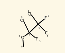 COC(F)(Cl)C(F)(Cl)Cl